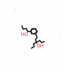 CCC[C@@H](O)c1cccc(CCC(O)(CCC)CCC)c1